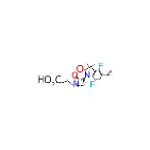 CC1(C)C(=O)N([C@@H]2CCN(CCCC(=O)O)C2=O)c2c(F)cc(C3CC3)c(F)c21